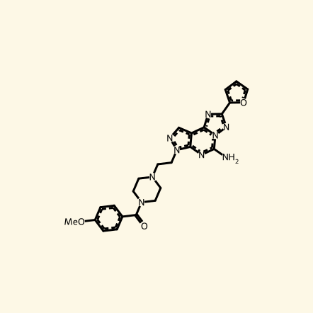 COc1ccc(C(=O)N2CCN(CCn3ncc4c3nc(N)n3nc(-c5ccco5)nc43)CC2)cc1